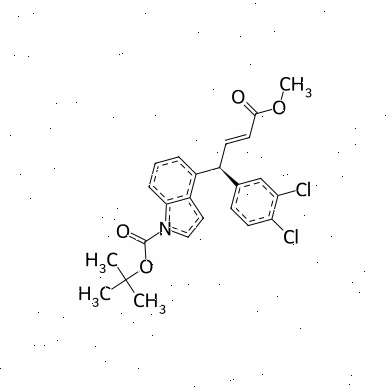 COC(=O)/C=C/[C@@H](c1ccc(Cl)c(Cl)c1)c1cccc2c1ccn2C(=O)OC(C)(C)C